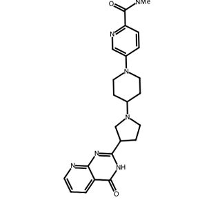 CNC(=O)c1ccc(N2CCC(N3CCC(c4nc5ncccc5c(=O)[nH]4)C3)CC2)cn1